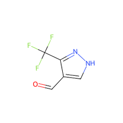 O=Cc1c[nH]nc1C(F)(F)F